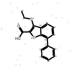 CCOc1c(C(=O)O)oc2c(-c3ccccc3)cccc12